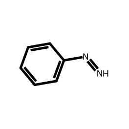 N=Nc1c[c]ccc1